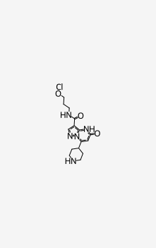 O=C(NCCCOCl)c1cnn2c(C3CCNCC3)cc(=O)[nH]c12